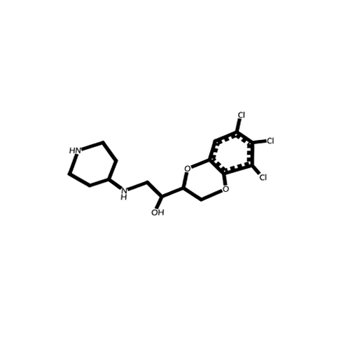 OC(CNC1CCNCC1)C1COc2c(cc(Cl)c(Cl)c2Cl)O1